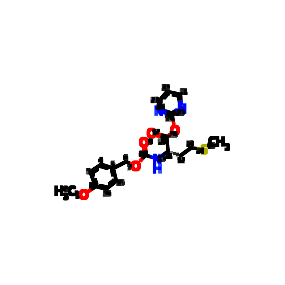 COc1ccc(COC(=O)N[C@@H](CCSC)C(=O)Oc2ncccn2)cc1